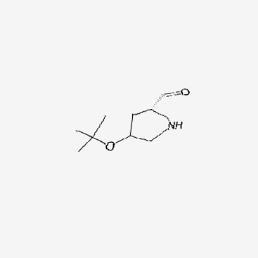 CC(C)(C)OC1CN[C@@H](C=O)C1